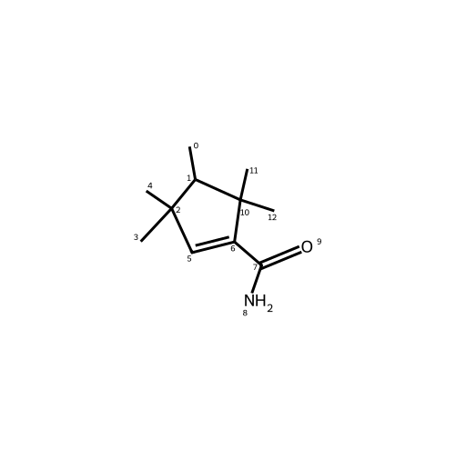 CC1C(C)(C)C=C(C(N)=O)C1(C)C